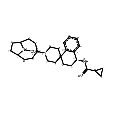 CCOC(=O)N1C2CCC(N3CCC4(CC[C@H](NC(=O)C5CC5)c5ccccc54)CC3)CCC1CC2